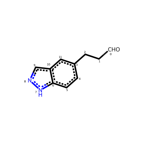 O=CCCc1ccc2[nH]ncc2c1